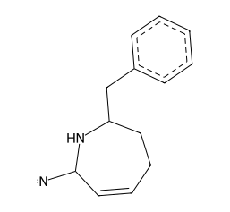 [N]C1C=CCCC(Cc2ccccc2)N1